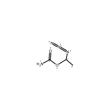 CC(N=[N+]=[N-])OC(N)=O